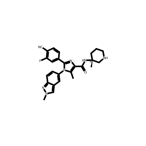 Cc1c(C(=O)N[C@]2(C)CCCNC2)nc(-c2ccc(C#N)c(F)c2)n1-c1ccc2nn(C)cc2c1